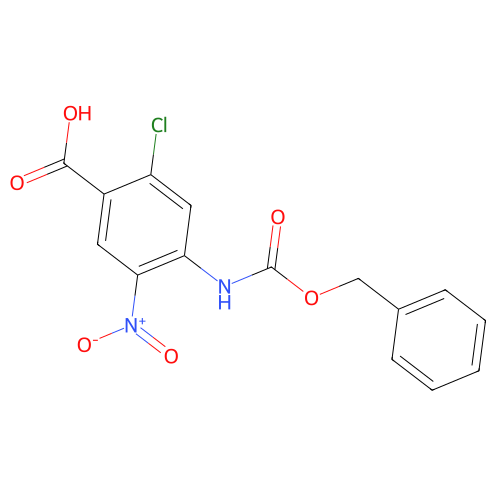 O=C(Nc1cc(Cl)c(C(=O)O)cc1[N+](=O)[O-])OCc1ccccc1